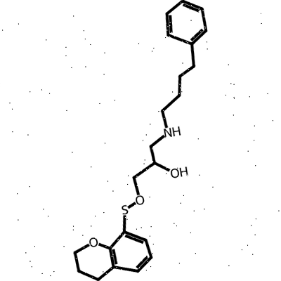 OC(CNCCCCc1ccccc1)COSc1cccc2c1OCCC2